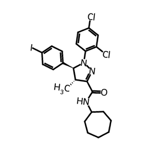 C[C@H]1C(C(=O)NC2CCCCCC2)=NN(c2ccc(Cl)cc2Cl)[C@@H]1c1ccc(I)cc1